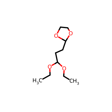 CCOC(CCC1OCCO1)OCC